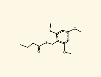 CCCC(=O)SCc1c(OC)cc(OC)cc1OC